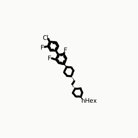 CCCCCC[C@H]1CC[C@H](CC[C@H]2CC[C@H](c3cc(F)c(-c4ccc(Cl)c(F)c4)c(F)c3)CC2)CC1